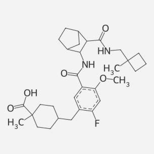 COc1cc(F)c(CC2CCC(C)(C(=O)O)CC2)cc1C(=O)NC1C2CCC(C2)C1C(=O)NCC1(C)CCC1